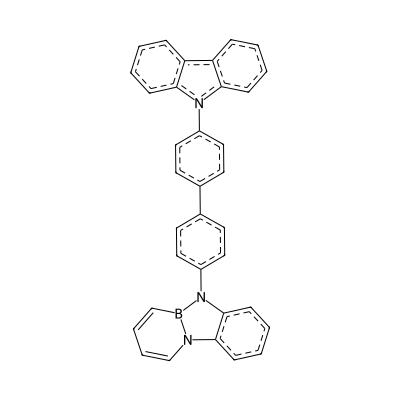 C1=CB2N(C=C1)c1ccccc1N2c1ccc(-c2ccc(-n3c4ccccc4c4ccccc43)cc2)cc1